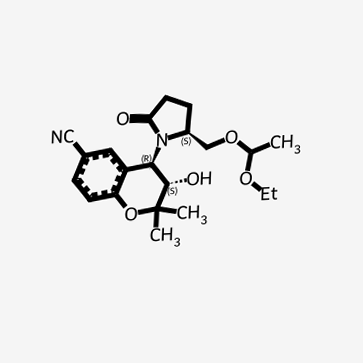 CCOC(C)OC[C@@H]1CCC(=O)N1[C@@H]1c2cc(C#N)ccc2OC(C)(C)[C@H]1O